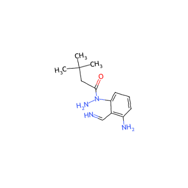 CC(C)(C)CC(=O)N(N)c1cccc(N)c1C=N